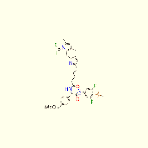 COCc1ccc(C(NC(=O)CCCCC2=NC(Cc3c(C)cc(C)n3B(F)F)C=C2)C(=O)Nc2cc(F)c(S(C)(C)C)c(F)c2)cc1